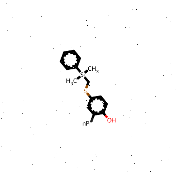 CCCc1cc(SC[Si](C)(C)c2ccccc2)ccc1O